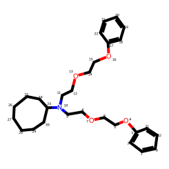 c1ccc(OCCOCCN(CCOCCOc2ccccc2)C2CCCCCCC2)cc1